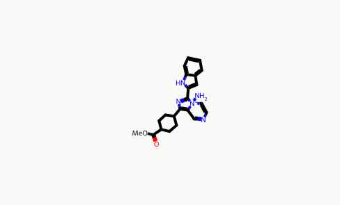 COC(=O)C1CCC(C2=C3C=NC=C[N+]3(N)C(c3cc4ccccc4[nH]3)=N2)CC1